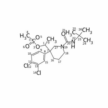 CC(OS(C)(=O)=O)C1(c2ccc(Cl)c(Cl)c2)CCCN(C(=O)NC(C)(C)C)C1